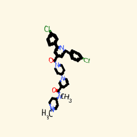 CN1CCC(N(C)C(=O)C2CCCN(C3CCN(C(=O)c4cc(-c5ccc(Cl)cc5)nc(-c5ccc(Cl)cc5)c4)CC3)C2)CC1